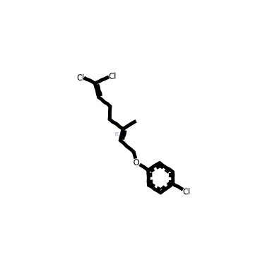 C/C(=C\COc1ccc(Cl)cc1)CCC=C(Cl)Cl